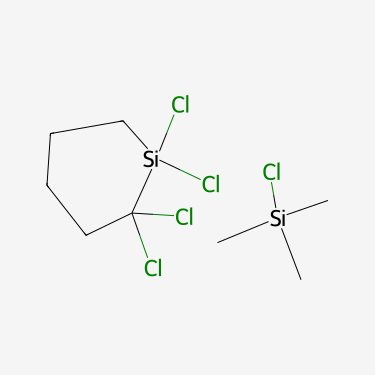 C[Si](C)(C)Cl.ClC1(Cl)CCCC[Si]1(Cl)Cl